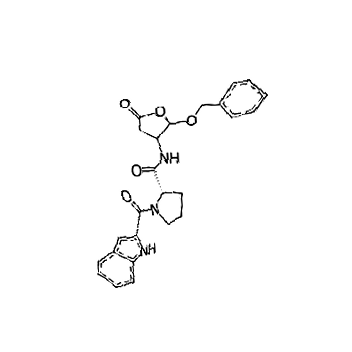 O=C1CC(NC(=O)[C@@H]2CCCN2C(=O)c2cc3ccccc3[nH]2)C(OCc2ccccc2)O1